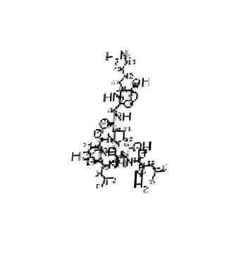 CC(C)C[C@H](NC(=O)[C@H](CO)NC(=O)[C@@H](N)CC(C)C)C(=O)N[C@@H](CO)C(=O)N1CCC[C@H]1C(=O)NCC(=O)N[C@@H](CCCCN)C(=O)O